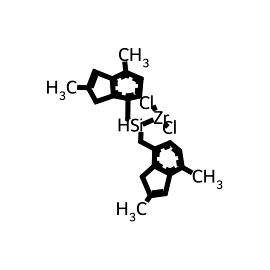 CC1=Cc2c(C)ccc(C[SiH](Cc3ccc(C)c4c3CC(C)=C4)[Zr]([Cl])[Cl])c2C1